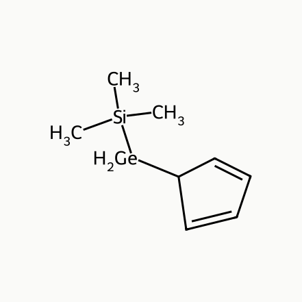 C[Si](C)(C)[GeH2][CH]1C=CC=C1